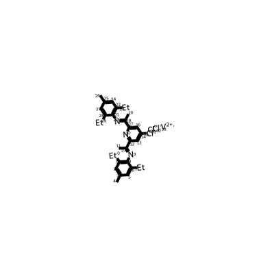 CCc1cc(C)cc(CC)c1N=C(C)c1cc(Cl)cc(C(C)=Nc2c(CC)cc(C)cc2CC)n1.[Cl-].[Cl-].[V+2]